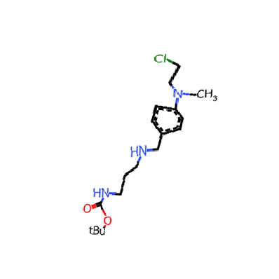 CN(CCCl)c1ccc(CNCCCNC(=O)OC(C)(C)C)cc1